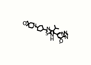 COc1cc(-c2[nH]c3sc(C4CCC(N5CCC6(CC5)COC6)CC4)nc3c2C(C)C)cn2ncnc12